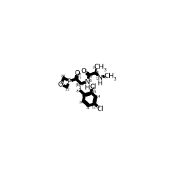 CN[C@H](C)C(=O)N[C@H](Cc1ccc(Cl)cc1Cl)C(=O)P1COC1